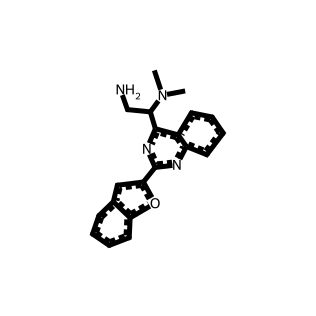 CN(C)C(CN)c1nc(-c2cc3ccccc3o2)nc2ccccc12